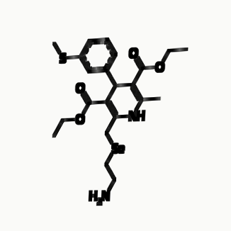 CCOC(=O)C1=C(C)NC(C[Se]CCN)=C(C(=O)OCC)C1c1cccc(SC)c1